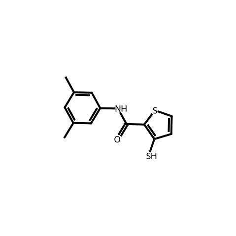 Cc1cc(C)cc(NC(=O)c2sccc2S)c1